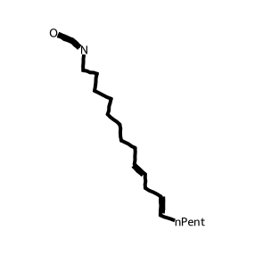 CCCCCC=CCC=CCCCCCCCCN=C=O